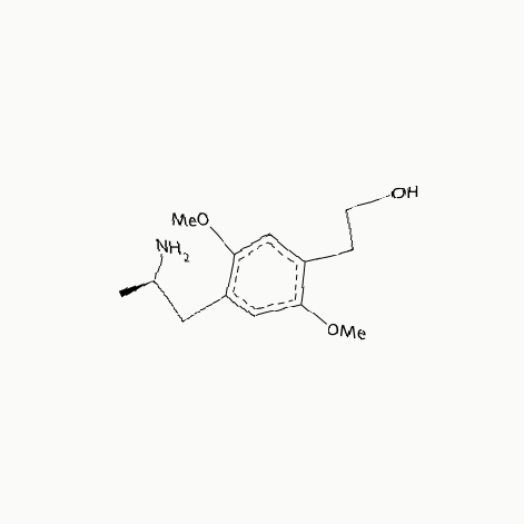 COc1cc(C[C@@H](C)N)c(OC)cc1CCO